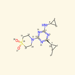 CC1C[C@@H]1c1nc(NC2CC2)nc(N2CCS(=O)(=O)CC2)n1